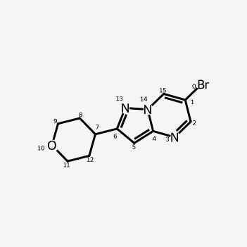 Brc1cnc2cc(C3CCOCC3)nn2c1